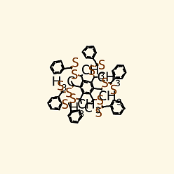 CC(SC(=S)c1ccccc1)c1c(C(C)SC(=S)c2ccccc2)c(C(C)SC(=S)c2ccccc2)c(C(C)SC(=S)c2ccccc2)c(C(C)SC(=S)c2ccccc2)c1C(C)SC(=S)c1ccccc1